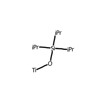 CC(C)[Si]([O][Ti])(C(C)C)C(C)C